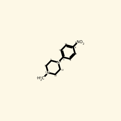 [CH2]N1CCN(c2ccc([N+](=O)[O-])cc2)CC1